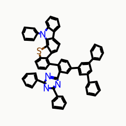 c1ccc(-c2cc(-c3ccccc3)cc(-c3ccc(-c4cccc5sc6c(ccc7c8ccccc8n(-c8ccccc8)c76)c45)c(-c4nc(-c5ccccc5)nc(-c5ccccc5)n4)c3)c2)cc1